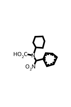 O=C(O)N(C1CCCCC1)C(c1ccccc1)[N+](=O)[O-]